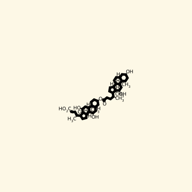 C[C@H](CCC(=O)O[C@@H]1CC[C@@]2(C)[C@@H](C1)C[C@H](O)[C@@H]1[C@@H]2C[C@H](O)[C@]2(C)C([C@H](C)CCC(=O)O)CC[C@@H]12)C1CC[C@H]2[C@@H]3CC[C@@H]4C[C@H](O)CC[C@]4(C)[C@H]3C[C@H](O)[C@]12C